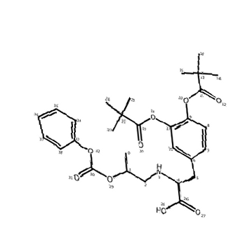 CC(CN[C@@H](Cc1ccc(OC(=O)C(C)(C)C)c(OC(=O)C(C)(C)C)c1)C(=O)O)OC(=O)Oc1ccccc1